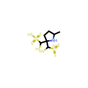 CC1CCC(C(S)[SH](=S)=S)(C(S)S(=S)(=S)S)N1